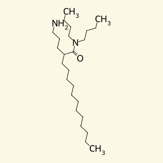 CCCCCCCCCCCCC(CCCN)C(=O)N(CCCC)CCCC